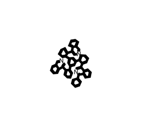 c1ccc(-c2ncc(-c3ccccc3-c3cc(-c4ccccc4-c4cncc5ccccc45)cc(-c4ccccc4-c4cncc5ccccc45)c3)c3ccccc23)cc1